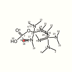 CN(C)P(=NP(OP(=O)(O)O)(N(C)C)(N(C)C)N(C)C)(N(C)C)N(C)C